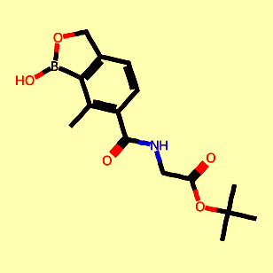 Cc1c(C(=O)NCC(=O)OC(C)(C)C)ccc2c1B(O)OC2